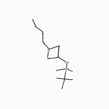 CCCCN1CC(O[Si](C)(C)C(C)(C)C)C1